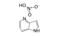 O=[N+]([O-])O.c1cnc2cc[nH]c2c1